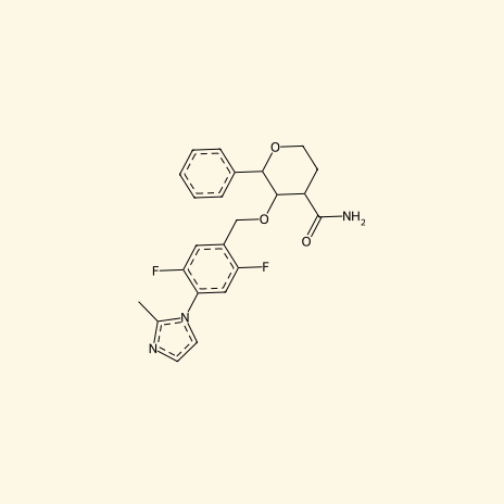 Cc1nccn1-c1cc(F)c(COC2C(C(N)=O)CCOC2c2ccccc2)cc1F